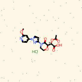 COc1cc(-n2ccc(N3CCOC([C@@H](OC(C)=O)C(=O)O)C3=O)n2)ccn1.Cl